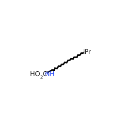 CC(C)CCCCCCCCCCCCCCCCCCCCCCNC(=O)O